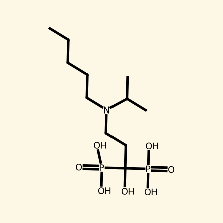 CCCCCN(CCC(O)(P(=O)(O)O)P(=O)(O)O)C(C)C